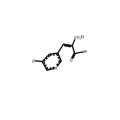 CCOC(=O)/C(=C/c1cncc(Cl)c1)C(=O)C(C)C